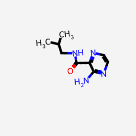 CC(C)CNC(=O)c1nccnc1N